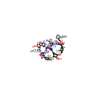 CN[C@H](CC(C)C)C(=O)N[C@H]1C(=O)N[C@@H](CC(N)=O)C(=O)N[C@H]2C(=O)N[C@H]3C(=O)N[C@H](C(=O)N[C@H](C(=O)O)C4=CC(O)CC(O)=C4c4cc3ccc4O)[C@H](O)c3ccc(c(Cl)c3)Oc3cc2cc(c3O)Oc2ccc(cc2Cl)[C@H]1O